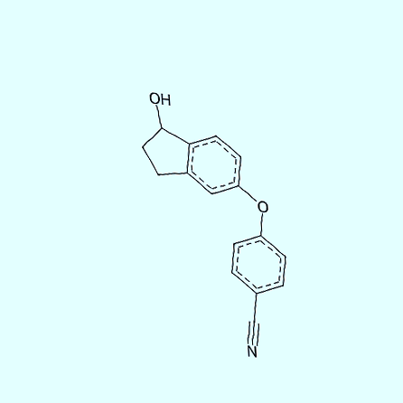 N#Cc1ccc(Oc2ccc3c(c2)CCC3O)cc1